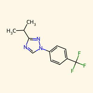 CC(C)c1ncn(-c2ccc(C(F)(F)F)cc2)n1